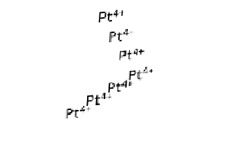 [Pt+4].[Pt+4].[Pt+4].[Pt+4].[Pt+4].[Pt+4].[Pt+4]